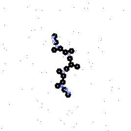 c1ccc(-c2cc(-c3ccc(-n4c5ccccc5c5cc(-c6ccc7c(c6)c6ccccc6n7-c6ccc(-c7ccccn7)nc6)ccc54)cc3)cc(-c3ccc(-n4c5ccccc5c5cc(-c6ccc7c(c6)c6ccccc6n7-c6ccc(-c7ccccn7)nc6)ccc54)cc3)c2)cc1